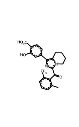 Cc1cccc(C(F)(F)F)c1C(=O)c1nc(-c2ccc(C(=O)O)c(O)c2)c2n1CCCC2